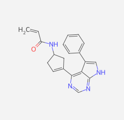 C=CC(=O)NC1CC=C(c2ncnc3[nH]cc(-c4ccccc4)c23)C1